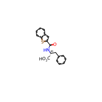 O=C(N[C@H](Cc1ccccc1)C(=O)O)c1cc2ccccc2s1